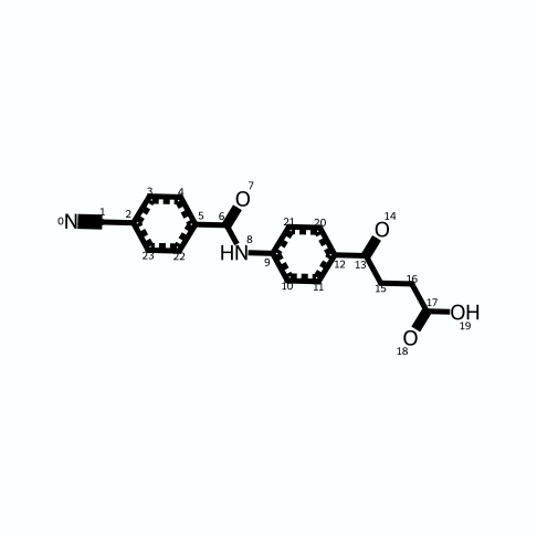 N#Cc1ccc(C(=O)Nc2ccc(C(=O)CCC(=O)O)cc2)cc1